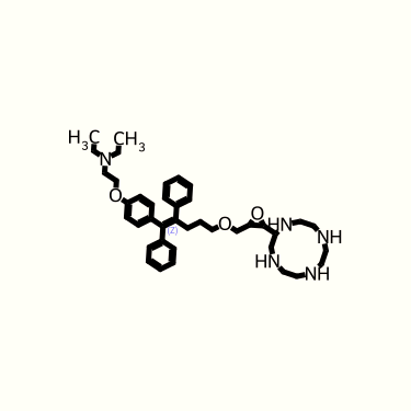 CCN(CC)CCOc1ccc(/C(=C(/CCCOCC2OC2C2CNCCNCCNCCN2)c2ccccc2)c2ccccc2)cc1